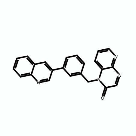 O=c1cnc2ncccc2n1Cc1cccc(-c2cnc3ccccc3c2)c1